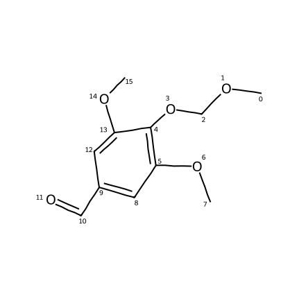 COCOc1c(OC)cc(C=O)cc1OC